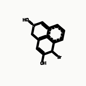 OC1=CC2=c3c(cccc3=CN(O)C2)C1Br